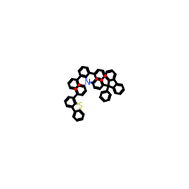 c1ccc(-c2cccc(-c3ccccc3)c2N(c2ccc(-c3cccc4c3sc3ccccc34)cc2)c2ccc(C3(c4ccccc4)c4ccccc4-c4ccccc43)cc2)cc1